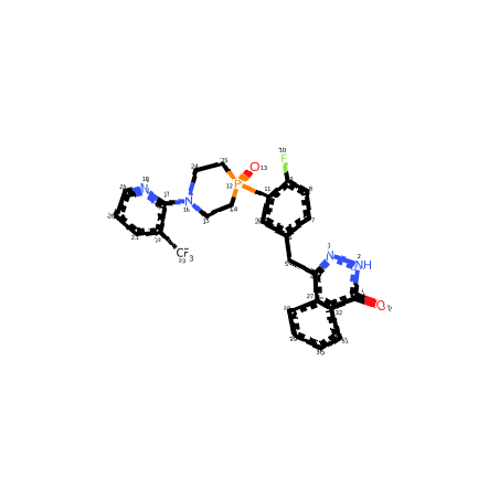 O=c1[nH]nc(Cc2ccc(F)c(P3(=O)CCN(c4ncccc4C(F)(F)F)CC3)c2)c2ccccc12